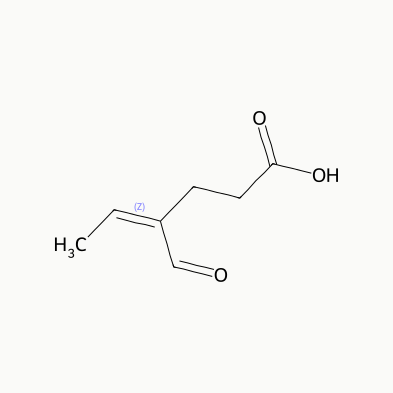 C/C=C(\C=O)CCC(=O)O